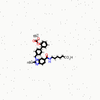 CCCCc1nc2ccc(C(=O)NCCCCCC(=O)O)cc2n1Cc1ccc(-c2ccccc2OC(=O)OC(C)(C)C)cc1